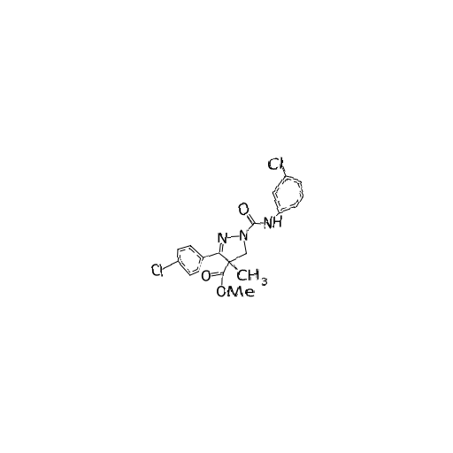 COC(=O)C1(C)CN(C(=O)Nc2cccc(Cl)c2)N=C1c1ccc(Cl)cc1